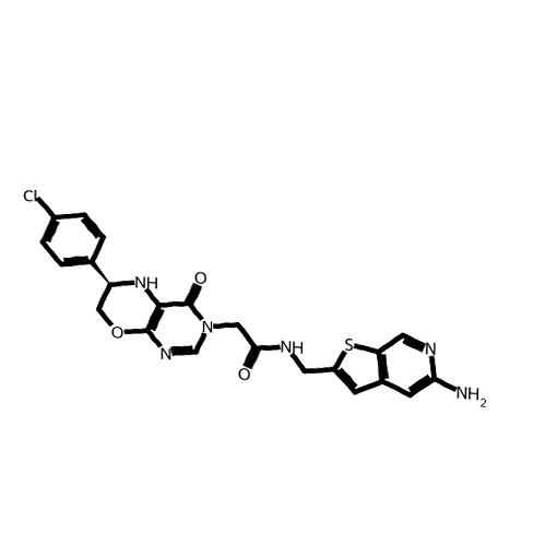 Nc1cc2cc(CNC(=O)Cn3cnc4c(c3=O)N[C@H](c3ccc(Cl)cc3)CO4)sc2cn1